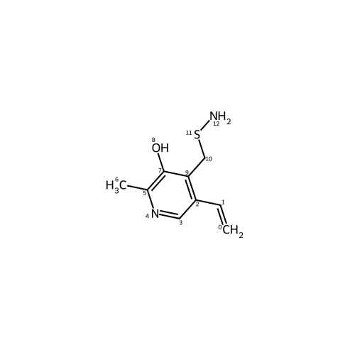 C=Cc1cnc(C)c(O)c1CSN